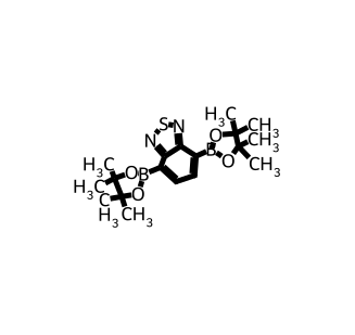 CC1(C)OB(c2ccc(B3OC(C)(C)C(C)(C)O3)c3nsnc23)OC1(C)C